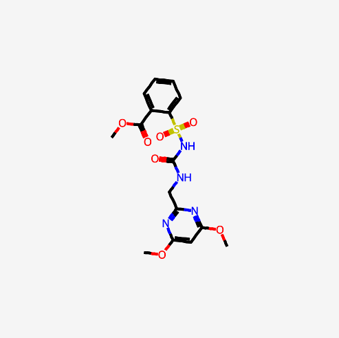 COC(=O)c1ccccc1S(=O)(=O)NC(=O)NCc1nc(OC)cc(OC)n1